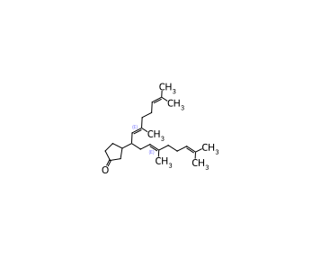 CC(C)=CCC/C(C)=C/CC(/C=C(\C)CCC=C(C)C)C1CCC(=O)C1